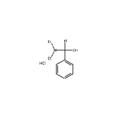 CCN(CC)C(O)(CC)c1ccccc1.Cl